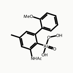 COc1ccccc1-c1cc(C)cc(NC(C)=O)c1[As](=O)(O)OO